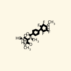 CNC(=O)C(C(=O)NO)N(C)C(=O)c1ccc(-c2c(F)c(F)c(NC)c(F)c2F)cc1